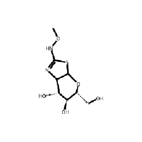 CONC1=NC2C(O[C@H](CO)[C@@H](O)[C@@H]2O)S1